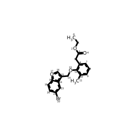 CCOC(=O)Cc1cccc(C)c1OCc1coc2ccc(Br)cc12